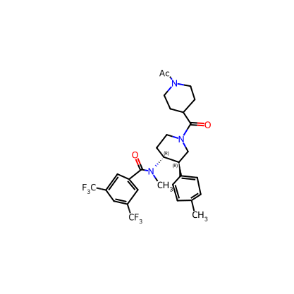 CC(=O)N1CCC(C(=O)N2CC[C@@H](N(C)C(=O)c3cc(C(F)(F)F)cc(C(F)(F)F)c3)[C@H](c3ccc(C)cc3)C2)CC1